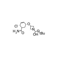 CC(C)(C)O[C@@H](O)N1CC(O[C@H]2C=C[C@@H](Cl)C(C(N)=O)C2)C1